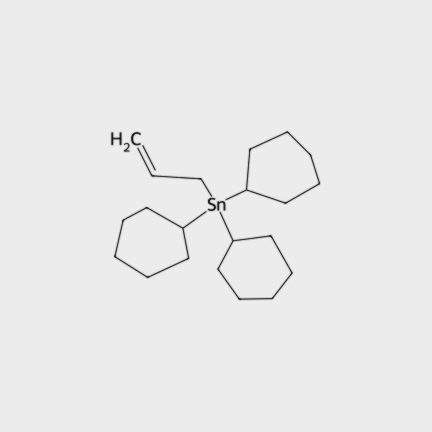 C=C[CH2][Sn]([CH]1CCCCC1)([CH]1CCCCC1)[CH]1CCCCC1